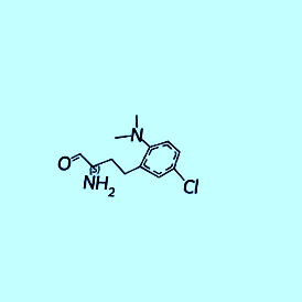 CN(C)c1ccc(Cl)cc1CC[C@H](N)C=O